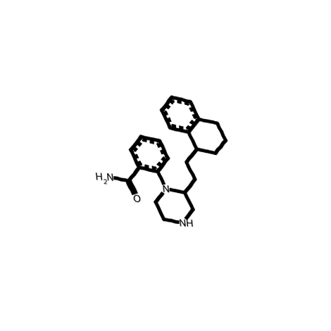 NC(=O)c1ccccc1N1CCNCC1CCC1CCCc2ccccc21